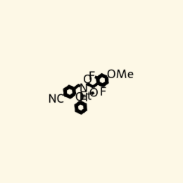 CCOC(C(=O)NCc1ccc(C#N)cc1Oc1ccccc1)c1c(F)cc(OC)cc1F